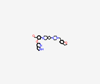 O=Cc1ccc(N2CCC3(CC2)CC(N2CCN(Cc4ccc5c(c4)OCC5)CC2)C3)cc1Oc1cnc2[nH]ccc2c1